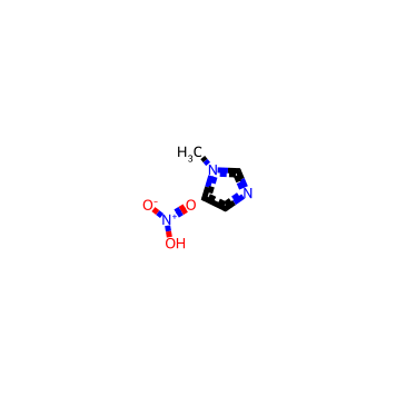 Cn1ccnc1.O=[N+]([O-])O